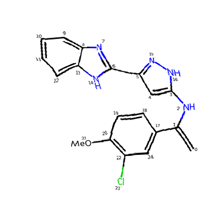 C=C(Nc1cc(-c2nc3ccccc3[nH]2)n[nH]1)c1ccc(OC)c(Cl)c1